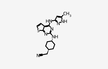 Cc1cc(Nc2nc(N[C@H]3CC[C@H](CC#N)CC3)nc3sccc23)n[nH]1